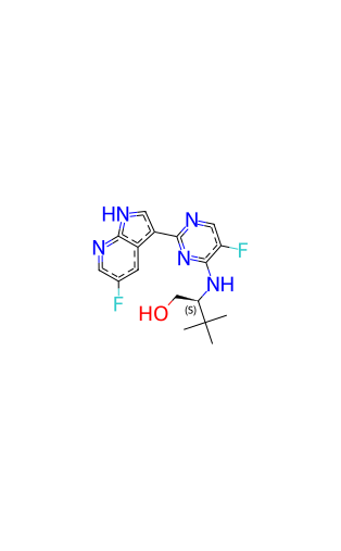 CC(C)(C)[C@@H](CO)Nc1nc(-c2c[nH]c3ncc(F)cc23)ncc1F